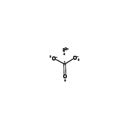 O=C([O-])[O-].[I+2]